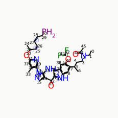 CCN(CCC(C)c1cc2[nH]c(C(=O)c3cnn(-c4cnc(OC(C)/C=C\C=C/CP)cc4C)c3N)cc2cc1OC(F)F)C(C)=O